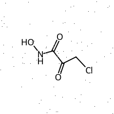 O=C(CCl)C(=O)NO